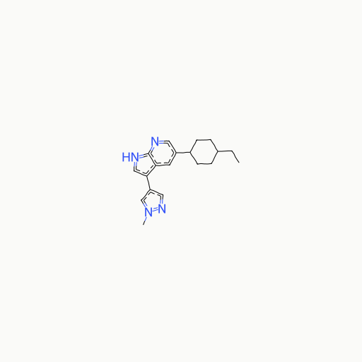 CCC1CCC(c2cnc3[nH]cc(-c4cnn(C)c4)c3c2)CC1